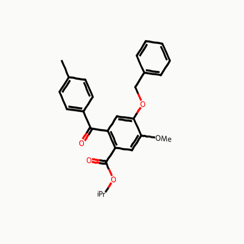 COc1cc(C(=O)OC(C)C)c(C(=O)c2ccc(C)cc2)cc1OCc1ccccc1